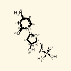 CP(=O)(O)OC[C@H]1O[C@@H](n2ccc(N)nc2=O)C[C@@H]1O